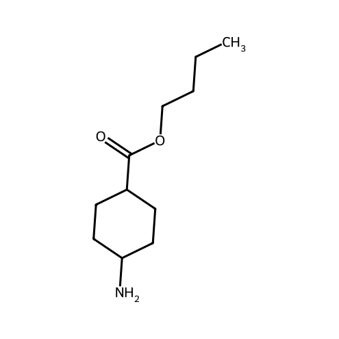 CCCCOC(=O)C1CCC(N)CC1